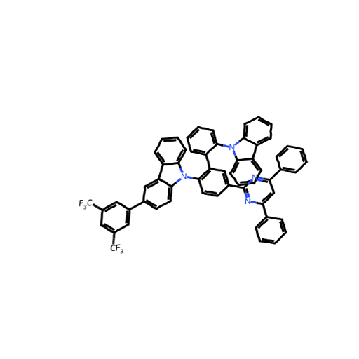 FC(F)(F)c1cc(-c2ccc3c(c2)c2ccccc2n3-c2ccc(-c3nc(-c4ccccc4)cc(-c4ccccc4)n3)cc2-c2ccccc2-n2c3ccccc3c3ccccc32)cc(C(F)(F)F)c1